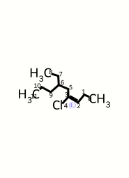 CC/C=C(/Cl)CC(CC)CCC